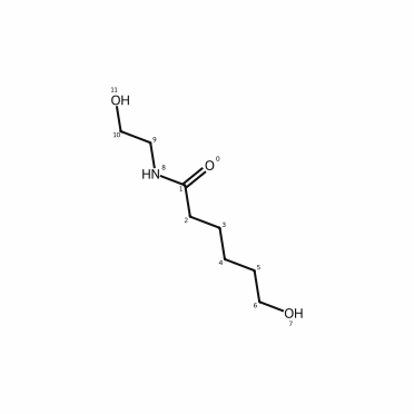 O=C(CCCCCO)NCCO